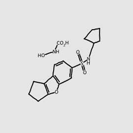 O=C(O)NO.O=S(=O)(NC1CCCC1)c1ccc2c3c(oc2c1)CCC3